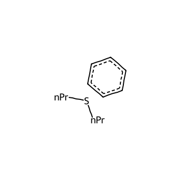 CCCSCCC.c1ccccc1